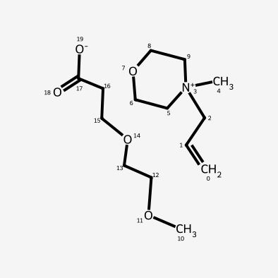 C=CC[N+]1(C)CCOCC1.COCCOCCC(=O)[O-]